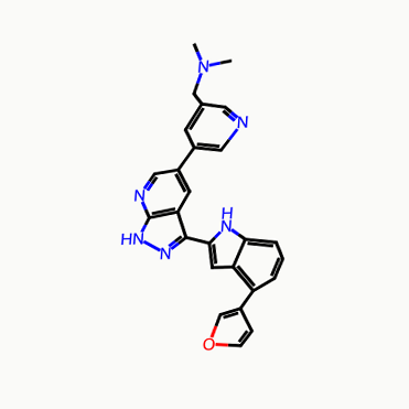 CN(C)Cc1cncc(-c2cnc3[nH]nc(-c4cc5c(-c6ccoc6)cccc5[nH]4)c3c2)c1